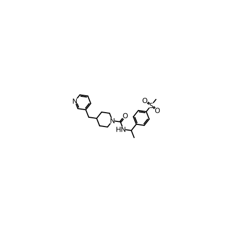 CC(NC(=O)N1CCC(Cc2cccnc2)CC1)c1ccc(S(C)(=O)=O)cc1